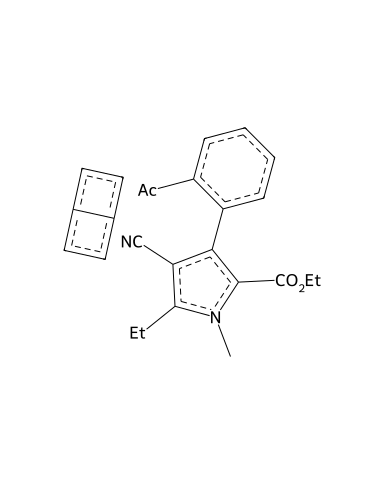 CCOC(=O)c1c(-c2ccccc2C(C)=O)c(C#N)c(CC)n1C.c1cc2ccc1-2